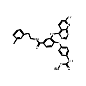 Cc1cccc(CCNC(=O)c2ccc(Sc3ccc(NC(=O)OC(C)(C)C)cc3)c(Nc3ncnc4nc(C(C)C)ccc34)c2)c1